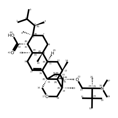 CC(C)[C@@H](C)[C@@]1(C)CC[C@]2(C)[C@H]3CC[C@@H]4[C@@]5(COC[C@]4(C)[C@@H](OC[C@@](C)(N(C)C)C(C)(C)C)[C@H](C)C5)C3=CC[C@@]2(C)[C@@H]1C(=O)O